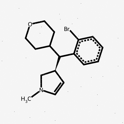 CN1C=C[C@H](C(c2ccccc2Br)C2CCOCC2)C1